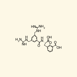 N=C(N)NCc1cc(CNC(=N)N)cc(C(=O)N[C@H]2Cc3cccc(C(=O)O)c3OB2O)c1